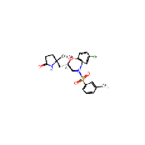 O=C1CCC(C[C@H]2CN(S(=O)(=O)c3cccc(C(F)(F)F)c3)c3cc(Br)ccc3O2)(C(=O)O)N1